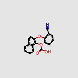 N#Cc1ccccc1Oc1ccc2ccccc2c1OC(=O)O